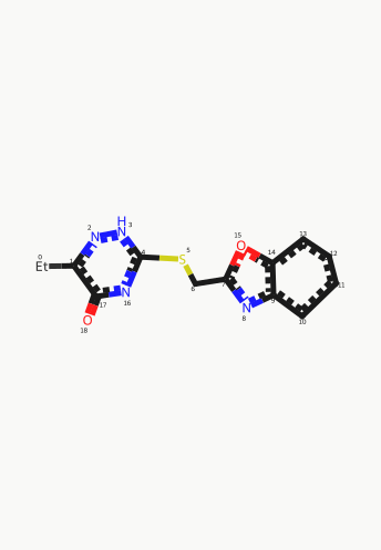 CCc1n[nH]c(SCc2nc3ccccc3o2)nc1=O